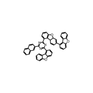 C1=CC2c3c(cccc3-c3nc(-c4ccc5ccccc5c4)nc(-c4cccc5oc6ccccc6c45)n3)OC2C=C1c1cccc2oc3ccccc3c12